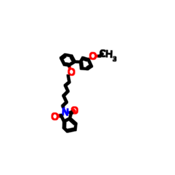 CCOc1cccc(-c2ccccc2OCCCCCCCN2C(=O)c3ccccc3C2=O)c1